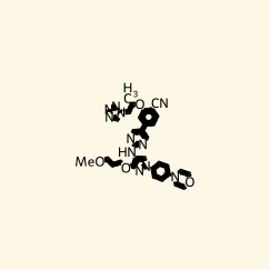 COCCCOc1nn([C@H]2CC[C@H](N3CCOCC3)CC2)cc1Nc1ncc(-c2ccc(C#N)c(O[C@@H](C)Cn3cnnn3)c2)cn1